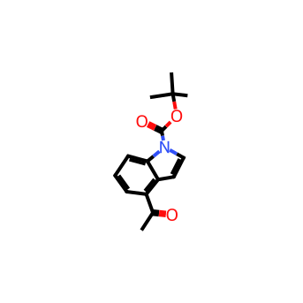 CC(=O)c1cccc2c1ccn2C(=O)OC(C)(C)C